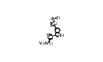 CNC(=O)c1cncc(-c2c[nH]c3ccc(-c4nnc(NC(C)C)o4)cc23)c1